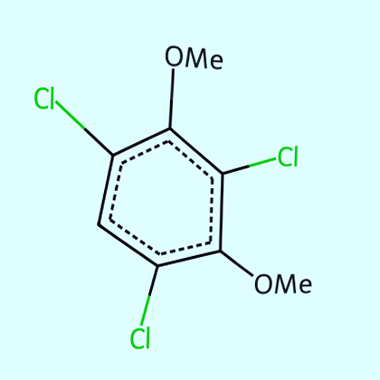 COc1c(Cl)cc(Cl)c(OC)c1Cl